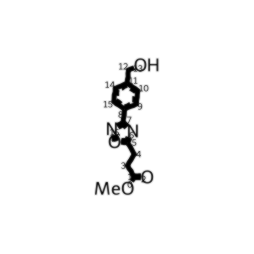 COC(=O)CCc1nc(-c2ccc(CO)cc2)no1